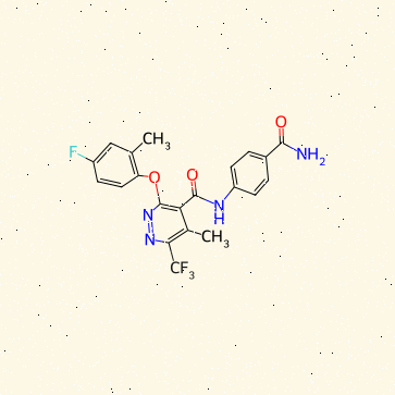 Cc1cc(F)ccc1Oc1nnc(C(F)(F)F)c(C)c1C(=O)Nc1ccc(C(N)=O)cc1